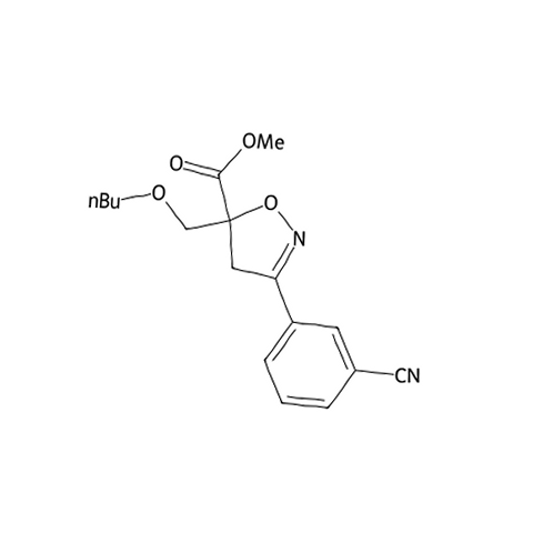 CCCCOCC1(C(=O)OC)CC(c2cccc(C#N)c2)=NO1